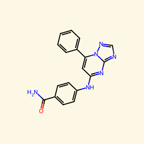 NC(=O)c1ccc(Nc2cc(-c3ccccc3)n3ncnc3n2)cc1